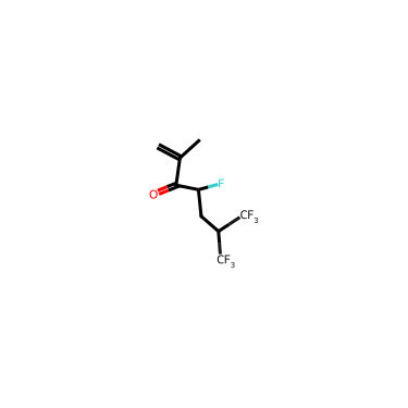 C=C(C)C(=O)C(F)CC(C(F)(F)F)C(F)(F)F